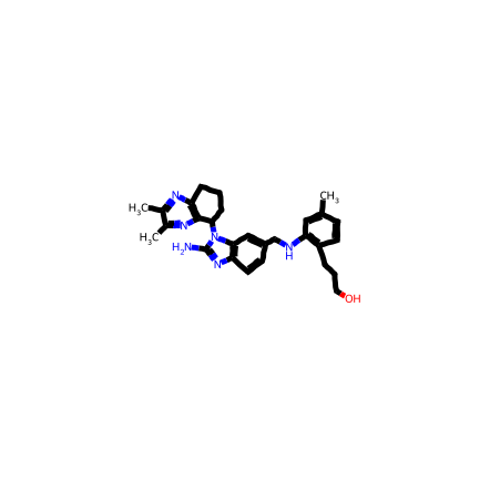 Cc1ccc(CCCO)c(NCc2ccc3nc(N)n(C4CCCc5nc(C)c(C)nc54)c3c2)c1